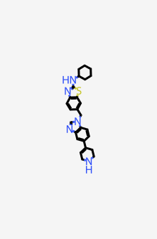 C1=C(c2ccc3c(c2)ncn3Cc2ccc3nc(NC4CCCCC4)sc3c2)CCNC1